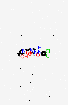 C[C@H]1C(=O)N(C[C@H](O)CN2CCC3(CC3)[C@H](O)C2)CCN1C(=O)Nc1ccc(Cl)c(Cl)c1